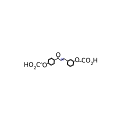 O=C(O)COc1ccc(C(=O)/C=C/c2cccc(OCC(=O)O)c2)cc1